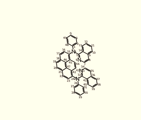 c1ccc(N(c2nccc3ccccc23)c2ccc3ccc4ccc(N(c5ccccc5)c5nccc6ccccc56)c5ccc2c3c45)cc1